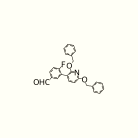 O=Cc1ccc(F)c(-c2ccc(OCc3ccccc3)nc2OCc2ccccc2)c1